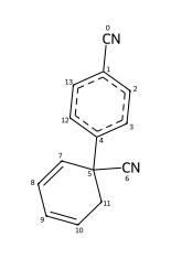 N#Cc1ccc(C2(C#N)C=CC=CC2)cc1